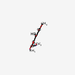 CC/C=C\CCCOC(CCCC(=O)OCCCCCCCN(CCO)CCCCCCCC(=O)OCCCCCCCCC)OCCC/C=C\CC